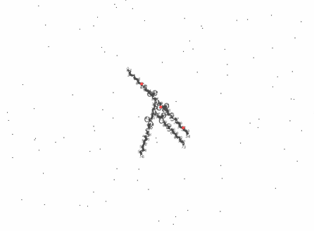 CCCCCCCCSSCCOC(=O)CCN(CCC(=O)OCCSSCCCCCCCC)CC(O)CN(CCC(=O)OCCSSCCCCCCCC)CCC(=O)OCCSSCCCCCCCC